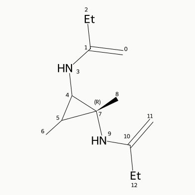 C=C(CC)NC1C(C)[C@@]1(C)NC(=C)CC